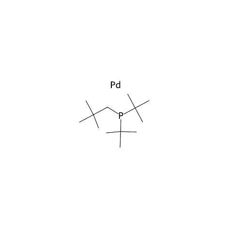 CC(C)(C)CP(C(C)(C)C)C(C)(C)C.[Pd]